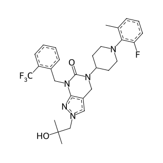 Cc1cccc(F)c1N1CCC(N2Cc3cn(CC(C)(C)O)nc3N(Cc3ccccc3C(F)(F)F)C2=O)CC1